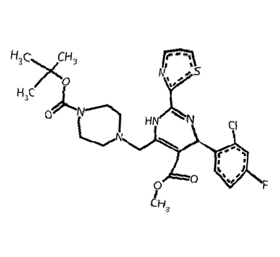 COC(=O)C1=C(CN2CCN(C(=O)OC(C)(C)C)CC2)NC(c2nccs2)=N[C@H]1c1ccc(F)cc1Cl